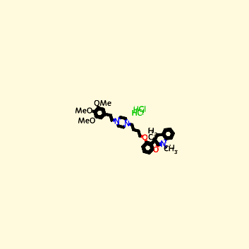 COc1cc(CCN2CCN(CCCCOc3ccccc3C3(C)Cc4ccccc4N(C)C3=O)CC2)cc(OC)c1OC.Cl.Cl